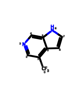 FC(F)(F)c1cncc2[nH]ccc12